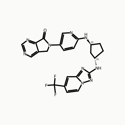 O=C1c2ncncc2CN1c1ccc(N[C@H]2CC[C@H](Nc3nc4cc(C(F)(F)F)ccn4n3)C2)nc1